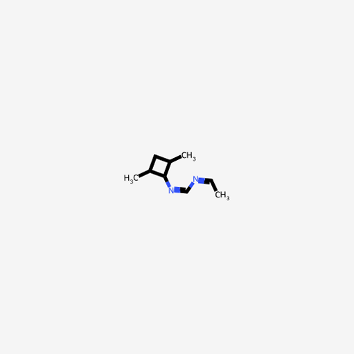 C/C=N\C=N/C1C(C)CC1C